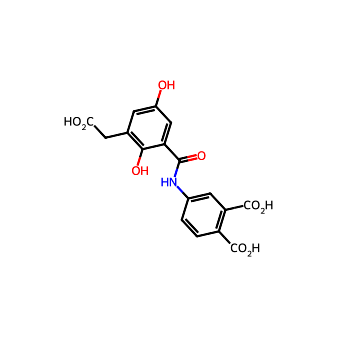 O=C(O)Cc1cc(O)cc(C(=O)Nc2ccc(C(=O)O)c(C(=O)O)c2)c1O